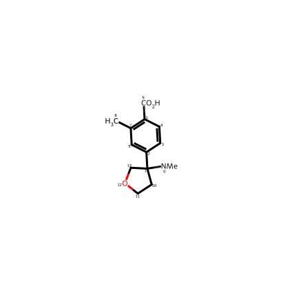 CNC1(c2ccc(C(=O)O)c(C)c2)CCOC1